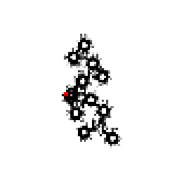 c1ccc(-c2nc(-c3ccccc3)nc(-c3cccc(-c4ccc(-n5c6ccccc6c6ccc(-n7c8ccccc8c8ccc(-n9c%10ccccc%10c%10ccccc%109)cc87)cc65)c(-n5c6ccccc6c6ccccc65)c4)c3)n2)cc1